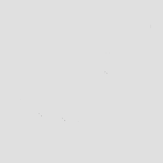 O=C(c1ccc2c(c1)CCN(S(=O)(=O)c1ccc(F)cc1)C2)N1CCN(C2CCC2)CC1